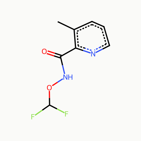 Cc1cccnc1C(=O)NOC(F)F